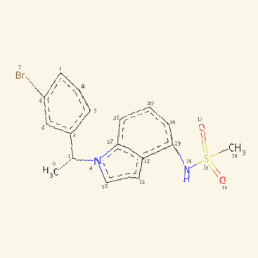 CC(c1cccc(Br)c1)n1ccc2c(NS(C)(=O)=O)cccc21